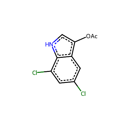 CC(=O)Oc1c[nH]c2c(Cl)cc(Cl)cc12